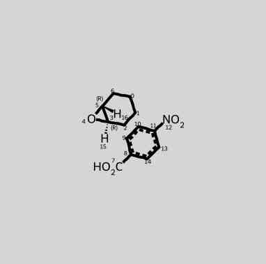 C1CC[C@H]2O[C@@H]2C1.O=C(O)c1ccc([N+](=O)[O-])cc1